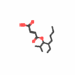 CCCCC(CC)C(OC(=O)C=CC(=O)O)C(C)C